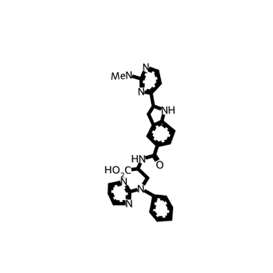 CNc1nccc(C2Cc3cc(C(=O)NC(CN(c4ccccc4)c4ncccn4)C(=O)O)ccc3N2)n1